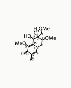 COCC1(C)C(OC)Cn2cc(Br)c(=O)c(OC)c2C1O